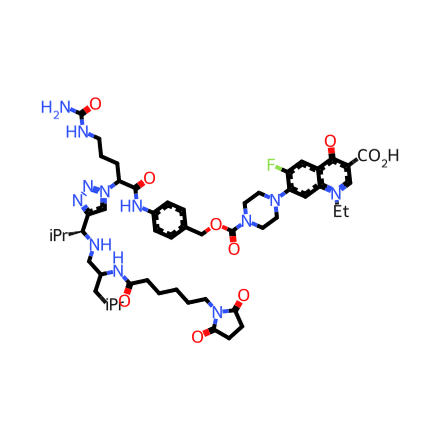 CCn1cc(C(=O)O)c(=O)c2cc(F)c(N3CCN(C(=O)OCc4ccc(NC(=O)C(CCCNC(N)=O)n5cc([C@@H](NCC(CC(C)C)NC(=O)CCCCCN6C(=O)CCC6=O)C(C)C)nn5)cc4)CC3)cc21